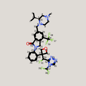 CC(C)[C@H]1CN(C)CCN1Cc1cc2c(c(C(F)(F)F)c1)CN(c1ccccc1C1(C(F)c3nncn3C(F)F)COC1)C2=O